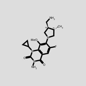 COc1c(N2C[C@@H](CN)[C@H](C)C2)c(F)cc2c(=O)n(N)c(=O)n(C3CC3)c12